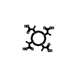 C[C@H](C(=O)O)N1CCN([C@H](C)C(=O)O)CCN([C@H](C)C(=O)O)CCN([C@H](C)C(=O)O)CC1